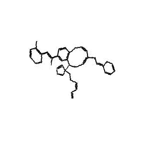 C=C/C=C\CCC1(C2C/C=C(C/C=C3/C=CC=CC3)\C=C/Cc3ccc(/C(C)=C/C4=C(C)C=CCC4)cc32)C=CC=C1